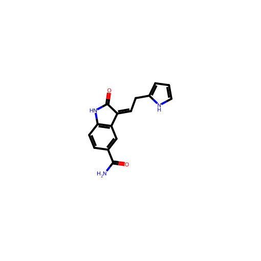 NC(=O)c1ccc2c(c1)C(=CCc1ccc[nH]1)C(=O)N2